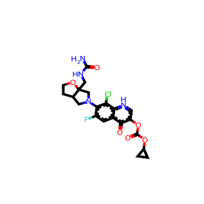 NC(=O)NCC12CN(c3c(F)cc4c(=O)c(OC(=O)OC5CC5)c[nH]c4c3Cl)CC1CCO2